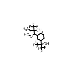 CCC(C)(C(OO)C1CCCC(C(O)(C(F)(F)F)C(F)(F)F)C1)C(F)(F)F